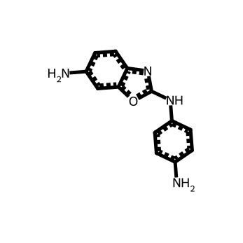 Nc1ccc(Nc2nc3ccc(N)cc3o2)cc1